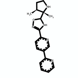 C[C@H]1CCN[C@]1(C)C1NC(c2ccc(-c3ccccn3)cn2)=NO1